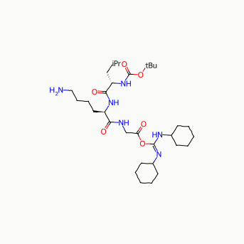 CC(C)C[C@H](NC(=O)OC(C)(C)C)C(=O)N[C@H](CCCCN)C(=O)NCC(=O)O/C(=N\C1CCCCC1)NC1CCCCC1